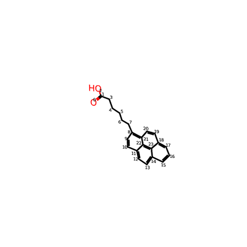 O=C(O)CCCCCc1ccc2ccc3cccc4ccc1c2c34